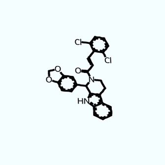 O=C(/C=C/c1c(Cl)cccc1Cl)N1CCc2c([nH]c3ccccc23)C1c1ccc2c(c1)OCO2